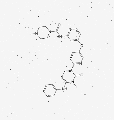 CN1CCN(C(=O)Nc2cc(Oc3ccc(-c4cnc(Nc5ccccc5)n(C)c4=O)nc3)ccn2)CC1